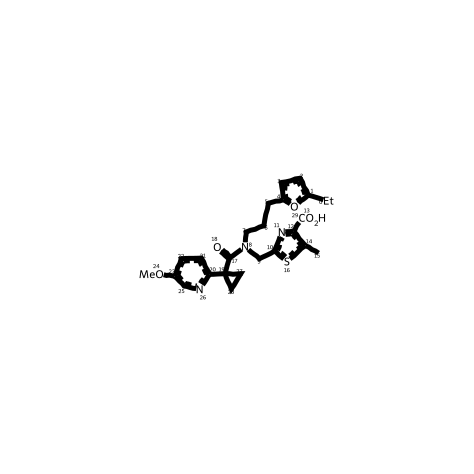 CCc1ccc(CCCN(Cc2nc(C(=O)O)c(C)s2)C(=O)C2(c3ccc(OC)cn3)CC2)o1